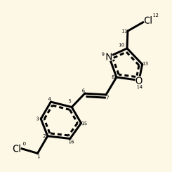 ClCc1ccc(C=Cc2nc(CCl)co2)cc1